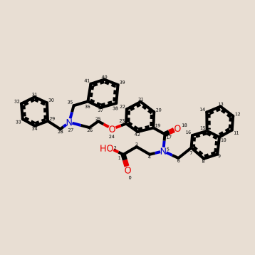 O=C(O)CCN(Cc1ccc2ccccc2c1)C(=O)c1cccc(OCCN(Cc2ccccc2)Cc2ccccc2)c1